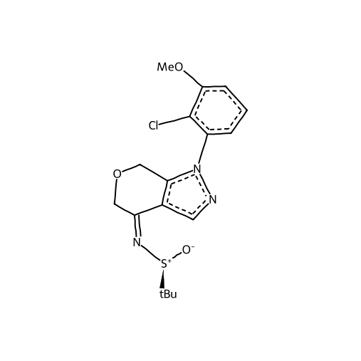 COc1cccc(-n2ncc3c2COC/C3=N/[S@@+]([O-])C(C)(C)C)c1Cl